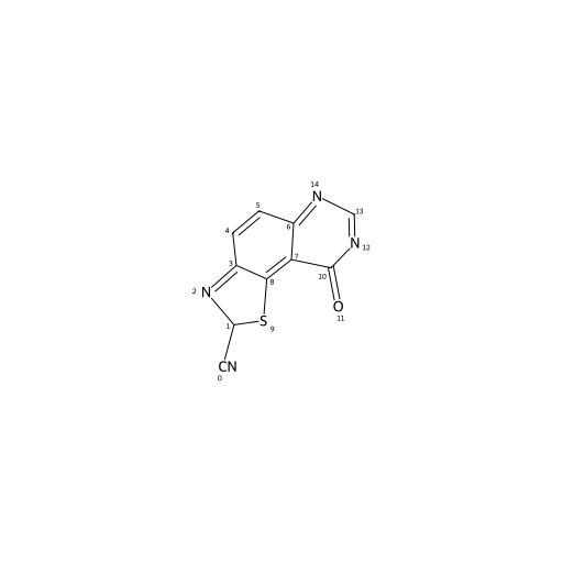 N#CC1N=c2ccc3c(c2S1)C(=O)N=CN=3